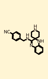 N#Cc1ccc(CNC2=Nc3ccccc3NC23CCNCC3)cc1